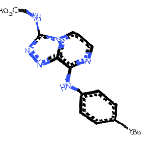 CC(C)(C)c1ccc(Nc2nccn3c(NC(=O)O)nnc23)cc1